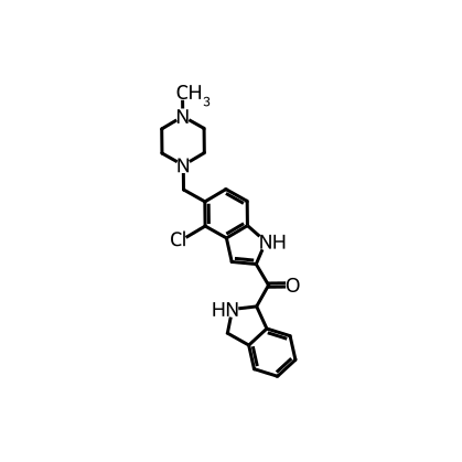 CN1CCN(Cc2ccc3[nH]c(C(=O)C4NCc5ccccc54)cc3c2Cl)CC1